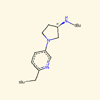 CC(C)(C)Cc1ccc(N2CC[C@@H](NC(C)(C)C)C2)cn1